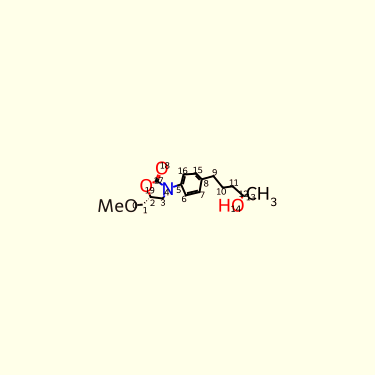 COC[C@H]1CN(c2ccc(CCC[C@H](C)O)cc2)C(=O)O1